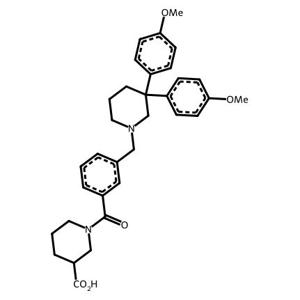 COc1ccc(C2(c3ccc(OC)cc3)CCCN(Cc3cccc(C(=O)N4CCCC(C(=O)O)C4)c3)C2)cc1